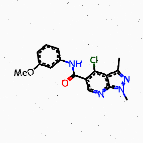 COc1cccc(NC(=O)c2cnc3c(c(C)nn3C)c2Cl)c1